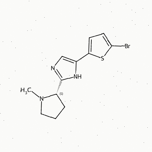 CN1CCC[C@H]1c1ncc(-c2ccc(Br)s2)[nH]1